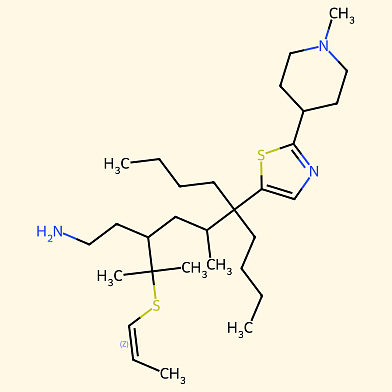 C/C=C\SC(C)(C)C(CCN)CC(C)C(CCCC)(CCCC)c1cnc(C2CCN(C)CC2)s1